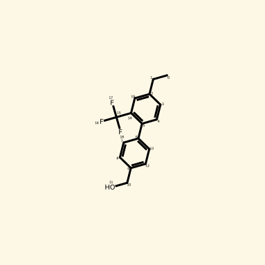 CCc1ccc(-c2ccc(CO)cc2)c(C(F)(F)F)c1